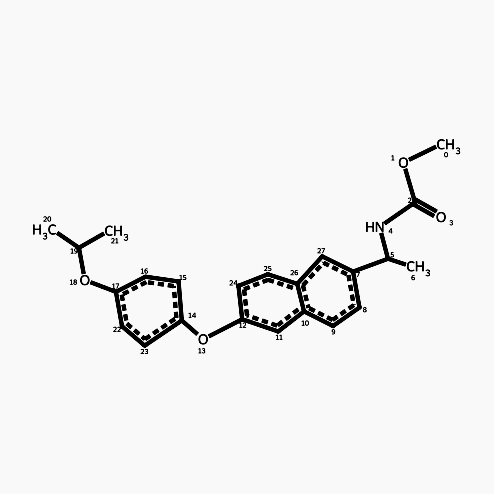 COC(=O)NC(C)c1ccc2cc(Oc3ccc(OC(C)C)cc3)ccc2c1